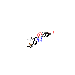 COC(=O)[C@H](Cc1ccc(O)cc1)NC(=O)c1cc(C(=O)O)c2cc(-c3ccc(C)s3)ccc2n1